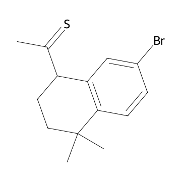 CC(=S)C1CCC(C)(C)c2ccc(Br)cc21